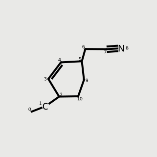 CCC1C=CC(CC#N)CC1